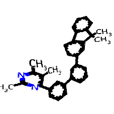 Cc1nc(C)c(C)c(-c2cccc(-c3cccc(-c4ccc5c(c4)C(C)(C)c4ccccc4-5)c3)c2)n1